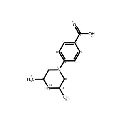 CC1CN(c2ccc(C(=O)O)cc2)CC(C)N1